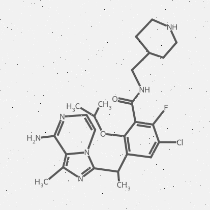 Cc1nc(C(C)c2cc(Cl)c(F)c(C(=O)NCC3CCNCC3)c2OC(C)C)n2ccnc(N)c12